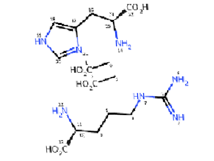 CC(=O)O.CC(=O)O.N=C(N)NCCC[C@H](N)C(=O)O.N[C@@H](Cc1c[nH]cn1)C(=O)O